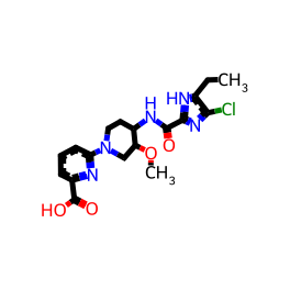 CCc1[nH]c(C(=O)NC2CCN(c3cccc(C(=O)O)n3)CC2OC)nc1Cl